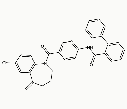 C=C1CCCN(C(=O)c2ccc(NC(=O)c3ccccc3-c3ccccc3)nc2)c2ccc(Cl)cc21